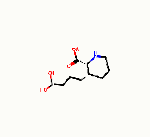 O=C(O)[C@@H]1NCCC[C@@H]1CCCB(O)O